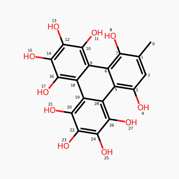 Cc1cc(O)c2c(c1O)c1c(O)c(O)c(O)c(O)c1c1c(O)c(O)c(O)c(O)c21